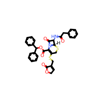 O=C(Cc1ccccc1)N[C@@H]1C(=O)N2C(C(=O)OC(c3ccccc3)c3ccccc3)=C(SCC3=CCOC3=O)CS[C@H]12